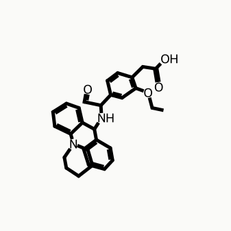 CCOc1cc(C(C=O)NC(c2ccccc2)c2ccccc2N2CCCCC2)ccc1CC(=O)O